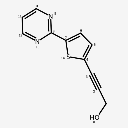 OCC#Cc1ccc(-c2ncccn2)s1